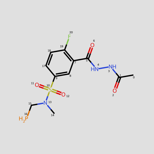 CC(=O)NNC(=O)c1cc(S(=O)(=O)N(C)CP)ccc1F